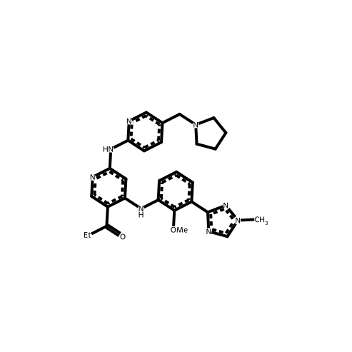 CCC(=O)c1cnc(Nc2ccc(CN3CCCC3)cn2)cc1Nc1cccc(-c2ncn(C)n2)c1OC